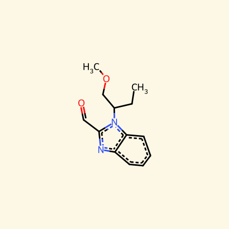 CCC(COC)n1c(C=O)nc2ccccc21